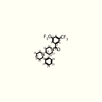 O=C(c1cc(C(F)(F)F)cc(C(F)(F)F)c1)N1CC[C@@H](N2CCSCC2)[C@@H](c2ccccc2)C1